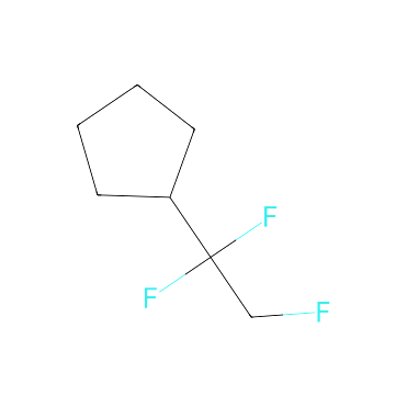 FCC(F)(F)C1CCCC1